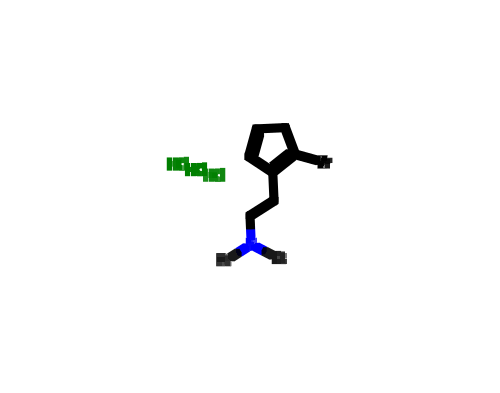 CCN(CC)CCC1=[C]([Zr])CC=C1.Cl.Cl.Cl